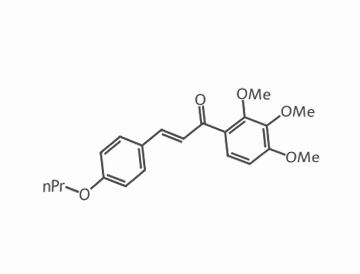 CCCOc1ccc(C=CC(=O)c2ccc(OC)c(OC)c2OC)cc1